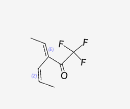 C/C=C\C(=C/C)C(=O)C(F)(F)F